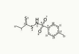 CCC(=S)SNS(=O)(=O)c1ccc(C)cc1